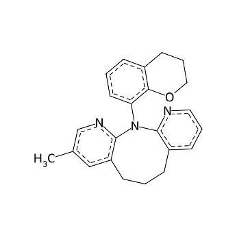 Cc1cnc2c(c1)CCCc1cccnc1N2c1cccc2c1OCCC2